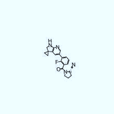 N#C[C@@H]1CCCN1C(=O)c1cccc(-c2cnc3c(c2)C2(CC2)CN3)c1F